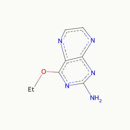 CCOc1nc(N)nc2nccnc12